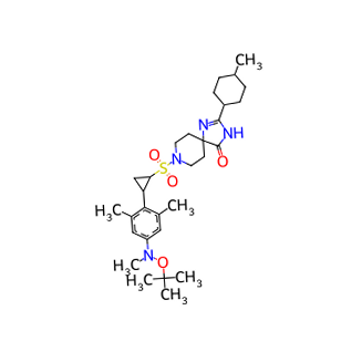 Cc1cc(N(C)OC(C)(C)C)cc(C)c1C1CC1S(=O)(=O)N1CCC2(CC1)N=C(C1CCC(C)CC1)NC2=O